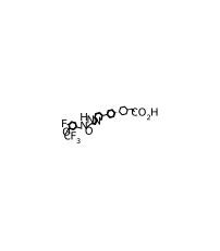 O=C(O)C[C@H]1CC[C@H](c2ccc(-c3ccc4nc(C(=O)NCc5ccc(F)c(OC(F)(F)F)c5)cn4c3)cc2)CC1